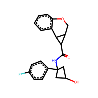 O=C(NC1(c2ccc(F)cc2)CC(O)C1)C1C2COc3ccccc3C21